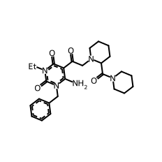 CCn1c(=O)c(C(=O)CN2CCCCC2C(=O)N2CCCCC2)c(N)n(Cc2ccccc2)c1=O